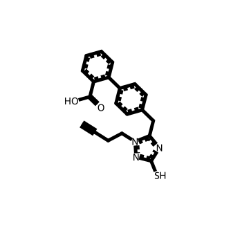 C#CCCn1nc(S)nc1Cc1ccc(-c2ccccc2C(=O)O)cc1